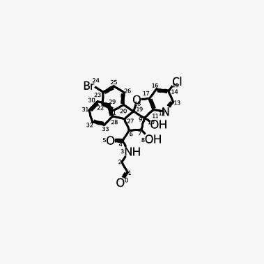 O=CCNC(=O)C1C(O)C2(O)c3ncc(Cl)cc3OC2(c2ccc(Br)cc2)C1c1ccccc1